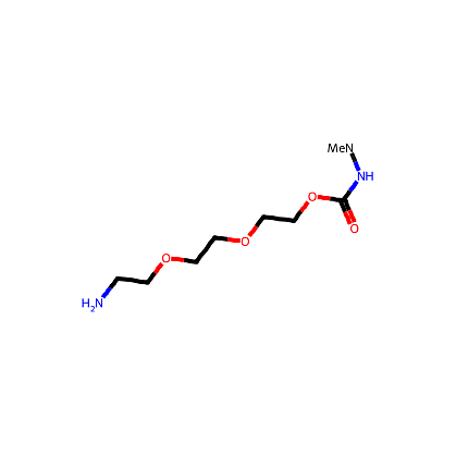 CNNC(=O)OCCOCCOCCN